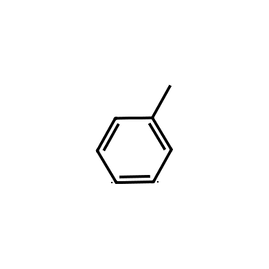 Cc1c[c][c]cc1